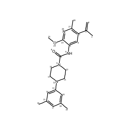 C=C(C)c1cc(NC(=O)N2CCN(c3cc(C)cc(C)c3)CC2)c(OC)nc1C